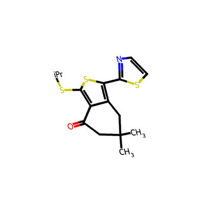 CC(C)Sc1sc(-c2nccs2)c2c1C(=O)CC(C)(C)C2